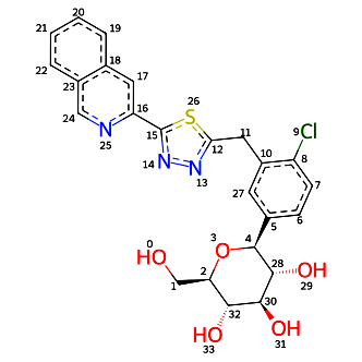 OC[C@H]1O[C@@H](c2ccc(Cl)c(Cc3nnc(-c4cc5ccccc5cn4)s3)c2)[C@H](O)[C@@H](O)[C@@H]1O